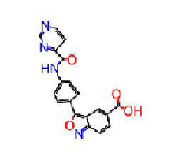 O=C(O)c1ccc2noc(-c3ccc(NC(=O)c4ccncn4)cc3)c2c1